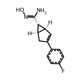 N/C(=N\O)[C@@H]1[C@H]2C=C(c3ccc(F)cc3)C[C@H]21